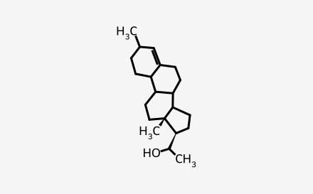 CC1C=C2CCC3C(CC[C@]4(C)C3CC[C@H]4C(C)O)C2CC1